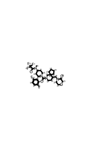 CN(C(=O)C(F)(F)F)[C@@H]1CCN(C(=O)N2CCC(CN3CCOCC3=O)C3(CCCC3)C2)[C@H](c2cc(F)ccc2F)C1